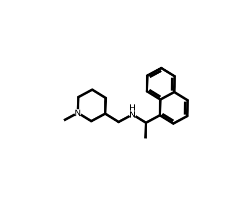 CC(NCC1CCCN(C)C1)c1cccc2ccccc12